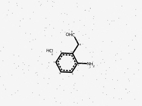 Cl.Nc1ccccc1CC=O